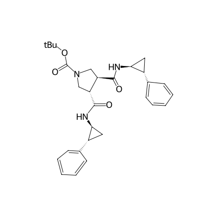 CC(C)(C)OC(=O)N1C[C@@H](C(=O)N[C@H]2C[C@@H]2c2ccccc2)[C@H](C(=O)N[C@H]2C[C@@H]2c2ccccc2)C1